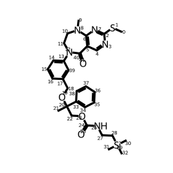 CSc1ncc2c(n1)N(C)CCN(c1cccc(COC(C)(COC(=O)NCC[Si](C)(C)C)c3ccccc3)c1)C2=O